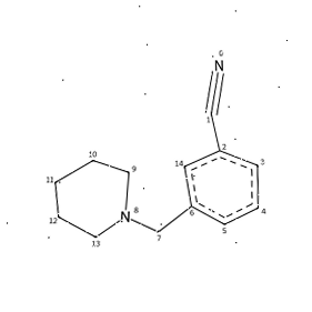 N#Cc1cccc(CN2CC[CH]CC2)c1